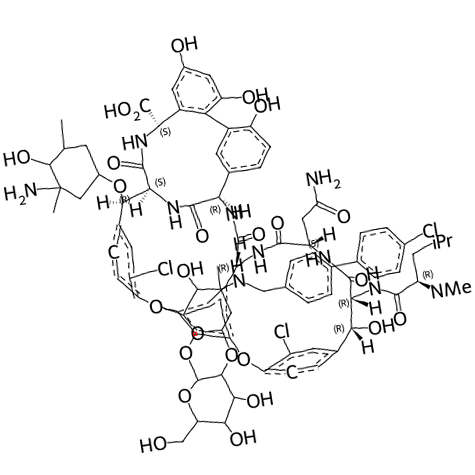 CN[C@H](CC(C)C)C(=O)N[C@H]1C(=O)N[C@@H](CC(N)=O)C(=O)N[C@H]2C(=O)N[C@H]3C(=O)N[C@H](C(=O)N[C@H](C(=O)O)c4cc(O)cc(O)c4-c4cc3ccc4O)[C@H](OC3CC(C)C(O)C(C)(N)C3)c3ccc(c(Cl)c3)Oc3cc2cc(c3OC2OC(CO)C(O)C(O)C2OC2CC(C)(NCc3ccc(-c4ccc(Cl)cc4)cc3)C(O)C(C)O2)Oc2ccc(cc2Cl)[C@H]1O